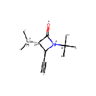 C#CC1[C@H]([SiH](C)C)C(=O)N1C(C)(C)C